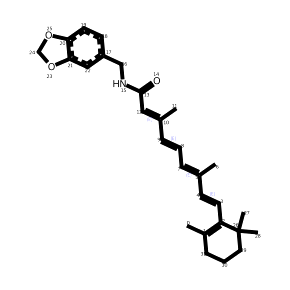 CC1=C(/C=C/C(C)=C/C=C/C(C)=C/C(=O)NCc2ccc3c(c2)OCO3)C(C)(C)CCC1